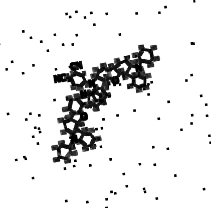 N#Cc1cc(-n2c3ccccc3c3c4oc5c(ccc6c5c5ccccc5n6-c5ccccc5)c4ccc32)c(-n2c3ccccc3c3c4oc5c(ccc6c5c5ccccc5n6-c5ccccc5)c4ccc32)cc1C#N